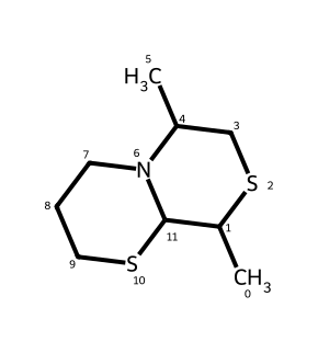 CC1SCC(C)N2CCCSC12